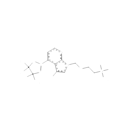 Cc1cn(COCC[Si](C)(C)C)c2nccc(B3OC(C)(C)C(C)(C)O3)c12